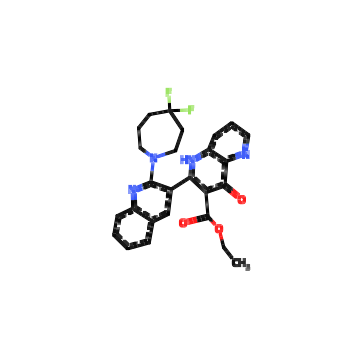 CCOC(=O)c1c(-c2cc3ccccc3nc2N2CCCC(F)(F)CC2)[nH]c2cccnc2c1=O